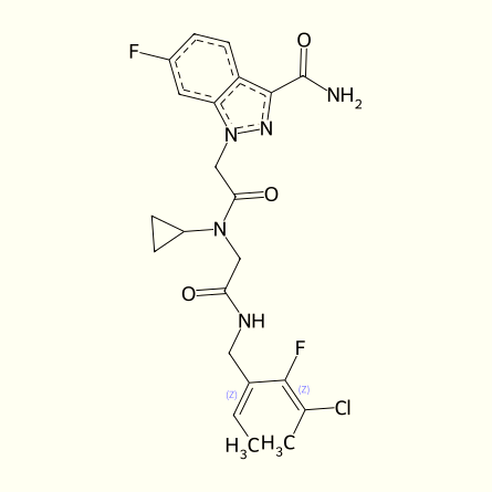 C/C=C(CNC(=O)CN(C(=O)Cn1nc(C(N)=O)c2ccc(F)cc21)C1CC1)\C(F)=C(/C)Cl